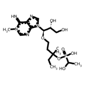 CCC(C)(CCO[C@H]([C@H](O)CO)n1cnc2c(=N)n(C)cnc21)OP(=O)(O)C(C)O